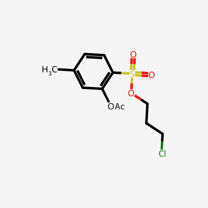 CC(=O)Oc1cc(C)ccc1S(=O)(=O)OCCCCl